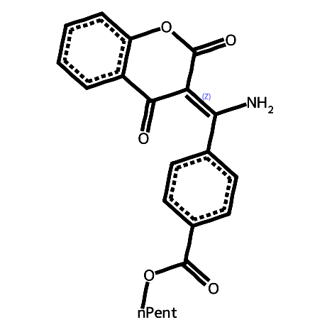 CCCCCOC(=O)c1ccc(/C(N)=C2/C(=O)Oc3ccccc3C2=O)cc1